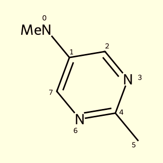 CNc1cnc(C)nc1